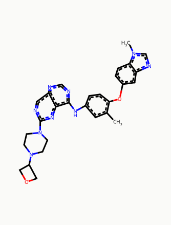 Cc1cc(Nc2ncnc3cnc(N4CCN(C5COC5)CC4)nc23)ccc1Oc1ccc2c(c1)ncn2C